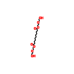 O=C(CCCCCCCCCC(=O)OCCOCCO)OCCOCCO